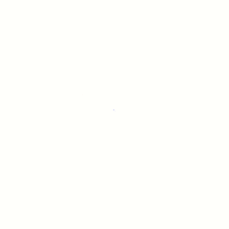 CN(CCOc1cc(-c2ccccc2)on1)C(=O)OC(C)(C)C